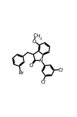 COc1cccc2c1C(Cc1cccc(Br)c1)C(=O)N2c1cc(Cl)cc(Cl)c1